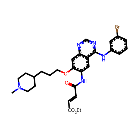 CCOC(=O)C=CC(=O)Nc1cc2c(Nc3cccc(Br)c3)ncnc2cc1OCCCC1CCN(C)CC1